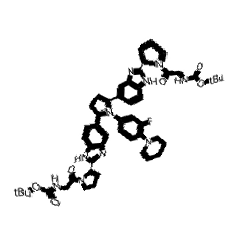 CC(C)(C)OC(=O)NCC(=O)N1CCC[C@H]1c1nc2cc(C3CC[C@@H](c4ccc5[nH]c([C@@H]6CCCN6C(=O)CNC(=O)OC(C)(C)C)nc5c4)N3c3ccc(N4CCCCC4)c(F)c3)ccc2[nH]1